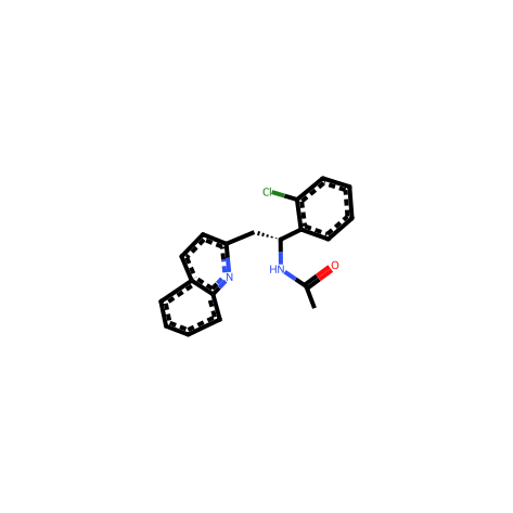 CC(=O)N[C@H](Cc1ccc2ccccc2n1)c1ccccc1Cl